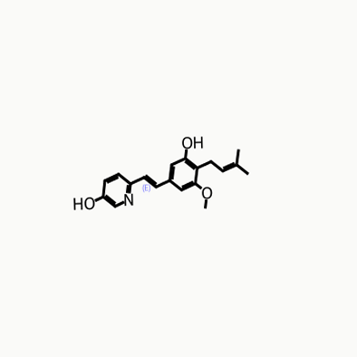 COc1cc(/C=C/c2ccc(O)cn2)cc(O)c1CC=C(C)C